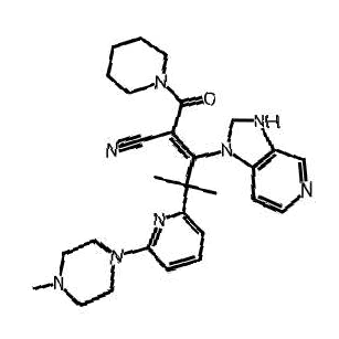 CN1CCN(c2cccc(C(C)(C)C(=C(C#N)C(=O)N3CCCCC3)N3CNc4cnccc43)n2)CC1